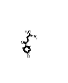 CC(C)CCC(=O)c1ccc(Cl)cc1